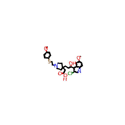 COc1ccc(SCCN2CCC(CC[C@@H](O)c3c(Cl)cnc4ccc(OC)cc34)(CC(=O)O)CC2)cc1